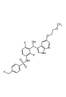 COCCOc1cnc2[nH]cc(C(O)c3c(F)ccc(NS(=O)(=O)c4ccc(CF)cc4)c3F)c2c1